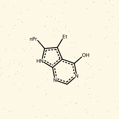 CCCc1[nH]c2ncnc(O)c2c1CC